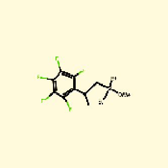 CC[Si](CC)(CC(C)c1c(F)c(F)c(F)c(F)c1F)OC